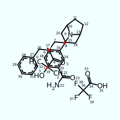 CC(C)(O)C(=O)N(CCN1C2CCC1CC(c1cccc(C(N)=O)c1)C2)Cc1ccccc1.O=C(O)C(F)(F)F